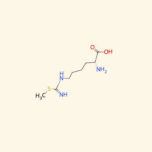 CSC(=N)NCCCC[C@@H](N)C(=O)O